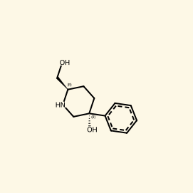 OC[C@H]1CC[C@@](O)(c2ccccc2)CN1